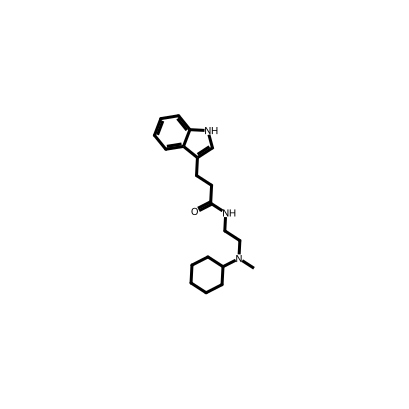 CN(CCNC(=O)CCc1c[nH]c2ccccc12)C1CCCCC1